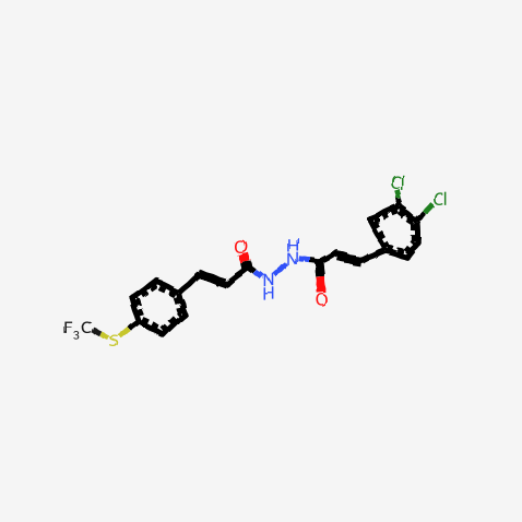 O=C(/C=C/c1ccc(SC(F)(F)F)cc1)NNC(=O)/C=C/c1ccc(Cl)c(Cl)c1